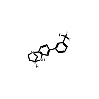 FC(F)(F)c1cccc(-c2ccc3c(c2)N[C@H]2CCN3C2)c1